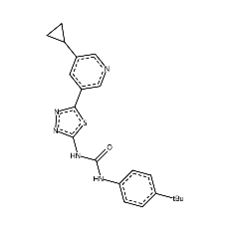 CC(C)(C)c1ccc(NC(=O)Nc2nnc(-c3cncc(C4CC4)c3)s2)cc1